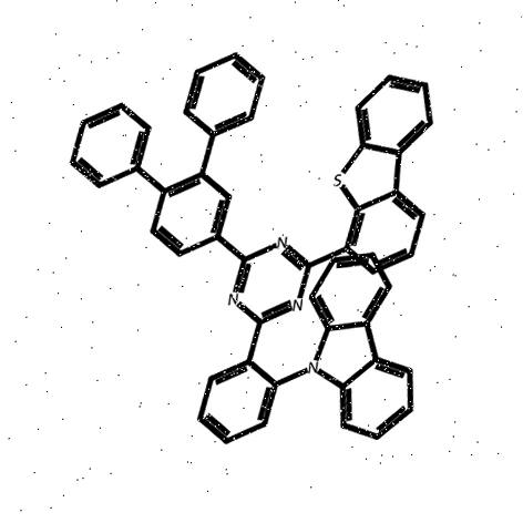 c1ccc(-c2ccc(-c3nc(-c4ccccc4-n4c5ccccc5c5ccccc54)nc(-c4cccc5c4sc4ccccc45)n3)cc2-c2ccccc2)cc1